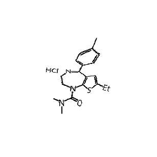 CCc1cc2c(s1)N(C(=O)N(C)C)CCN=C2c1ccc(C)cc1.Cl